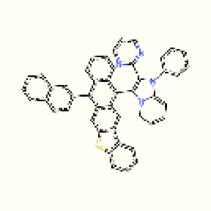 C1=CCN2C(=C1)N(c1ccccc1)C(c1ncccn1)=C2c1c2ccccc2c(-c2ccc3ccccc3c2)c2cc3sc4ccccc4c3cc12